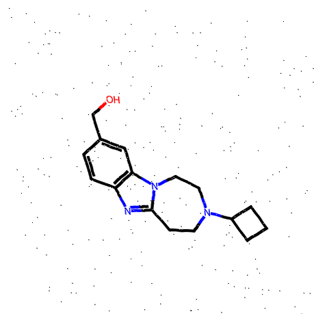 OCc1ccc2nc3n(c2c1)CCN(C1CCC1)CC3